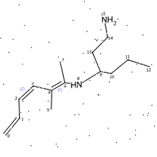 C=C/C=C\C(C)=C(/C)NC(CCC)CCN